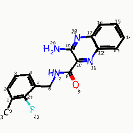 Cc1cccc(CNC(=O)c2nc3ccccc3nc2N)c1F